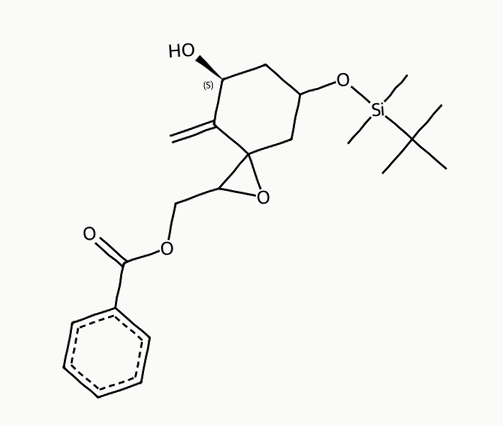 C=C1[C@@H](O)CC(O[Si](C)(C)C(C)(C)C)CC12OC2COC(=O)c1ccccc1